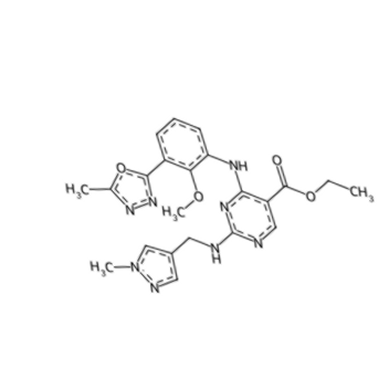 CCOC(=O)c1cnc(NCc2cnn(C)c2)nc1Nc1cccc(-c2nnc(C)o2)c1OC